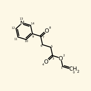 C=COC(=O)CCC(=O)c1cccnc1